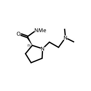 CNC(=O)[C@@H]1CCCN1CCN(C)C